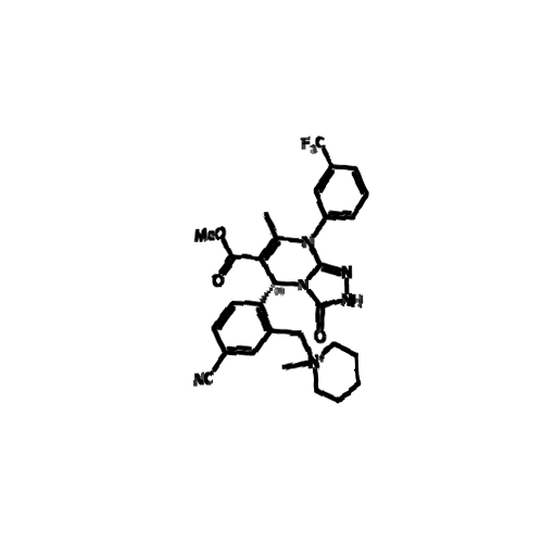 COC(=O)C1=C(C)N(c2cccc(C(F)(F)F)c2)c2n[nH]c(=O)n2[C@@H]1c1ccc(C#N)cc1C[N+]1(C)CCCCC1